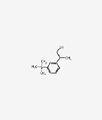 CC(CS)c1cccc(S(C)(C)C)c1